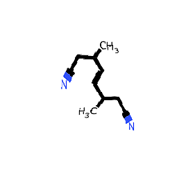 CC(C=CC(C)CC#N)CC#N